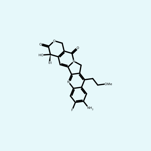 CC[C@@]1(O)C(=O)OCc2c1cc1n(c2=O)Cc2c-1nc1cc(F)c(N)cc1c2CCOC